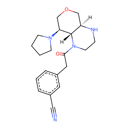 N#Cc1cccc(CC(=O)N2CCN[C@@H]3COC[C@H](N4CCCC4)[C@H]32)c1